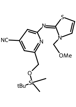 COCn1ccsc1=Nc1cc(C#N)cc(CO[Si](C)(C)C(C)(C)C)n1